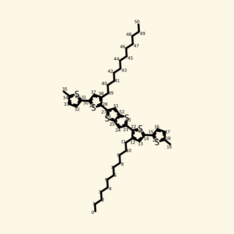 CCCCCCCCCCCCc1cc(-c2ccc(C)s2)sc1-c1cc2sc(-c3sc(-c4ccc(C)s4)cc3CCCCCCCCCCCC)cc2s1